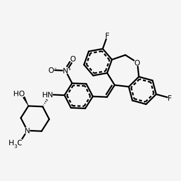 CN1CC[C@@H](Nc2ccc(C=C3c4ccc(F)cc4OCc4c(F)cccc43)cc2[N+](=O)[O-])[C@H](O)C1